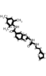 Cc1cc(C)c(NC(=O)c2ccc3nc(NC(=O)NCCc4cccs4)sc3c2)c(C)c1